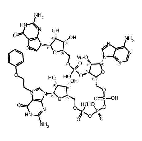 CO[C@@H]1[C@H](OP(=O)(O)OC[C@H]2O[C@@H](n3cnc4c(=O)[nH]c(N)nc43)[C@H](O)[C@@H]2O)[C@@H](COP(=O)(O)OP(=O)(O)OP(=O)(O)OC[C@H]2O[C@@H](n3c[n+](CCOc4ccccc4)c4c(=O)[nH]c(N)nc43)[C@H](O)[C@@H]2O)O[C@H]1n1cnc2c(N)ncnc21